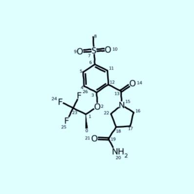 C[C@H](Oc1ccc(S(C)(=O)=O)cc1C(=O)N1CCC(C(N)=O)C1)C(F)(F)F